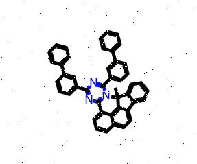 CC1(C)c2ccccc2-c2ccc3cccc(-c4nc(-c5cccc(-c6ccccc6)c5)nc(-c5cccc(-c6ccccc6)c5)n4)c3c21